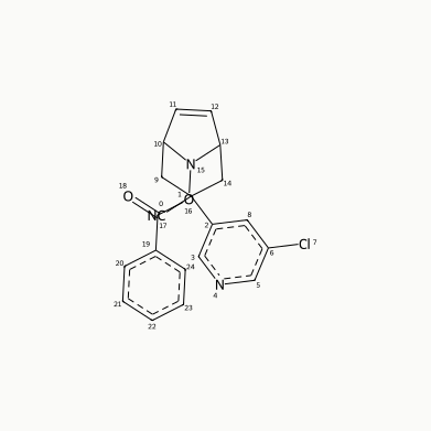 N#CC1(c2cncc(Cl)c2)CC2C=CC(C1)N2OC(=O)c1ccccc1